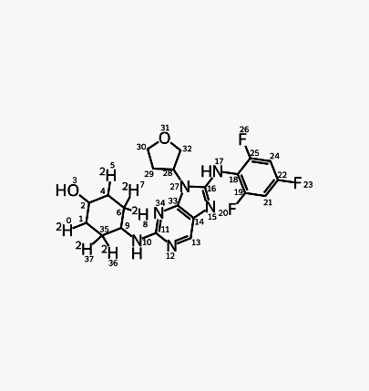 [2H]C1C(O)C([2H])C([2H])([2H])C(Nc2ncc3nc(Nc4c(F)cc(F)cc4F)n(C4CCOC4)c3n2)C1([2H])[2H]